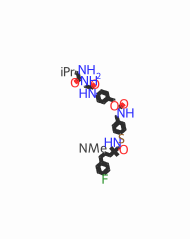 CNC(Cc1ccc(F)cc1)CC(C)(C)C(=O)NSc1ccc(CNC(=O)OCc2ccc(NC(=O)CNC(=O)C(N)C(C)C)cc2)cc1